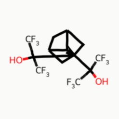 OC(C1=C2C3CC2CC(C(O)(C(F)(F)F)C(F)(F)F)(C1)C3)(C(F)(F)F)C(F)(F)F